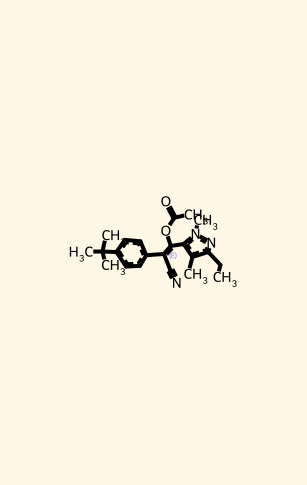 CCc1nn(C)c(/C(OC(C)=O)=C(\C#N)c2ccc(C(C)(C)C)cc2)c1C